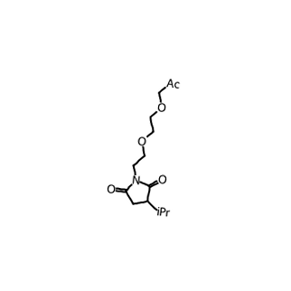 CC(=O)COCCOCCN1C(=O)CC(C(C)C)C1=O